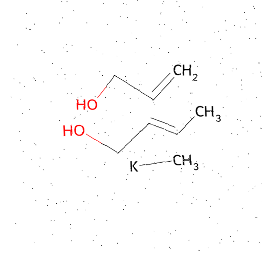 C=CCO.CC=CCO.[CH3][K]